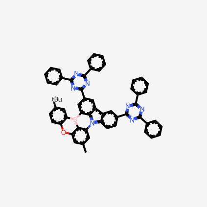 Cc1cc2c3c(c1)-n1c4ccc(-c5nc(-c6ccccc6)nc(-c6ccccc6)n5)cc4c4cc(-c5nc(-c6ccccc6)nc(-c6ccccc6)n5)cc(c41)B3c1cc(C(C)(C)C)ccc1O2